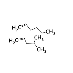 C=CCC(C)C.C=CCCCC